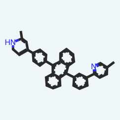 CC1=CC(c2ccc(-c3c4ccccc4c(-c4cccc(-c5ccc(C)cn5)c4)c4ccccc34)cc2)=CCN1